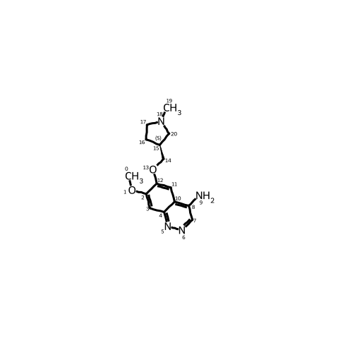 COc1cc2nncc(N)c2cc1OC[C@H]1CCN(C)C1